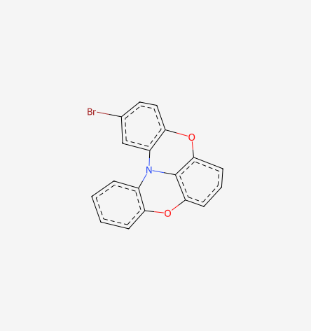 Brc1ccc2c(c1)N1c3ccccc3Oc3cccc(c31)O2